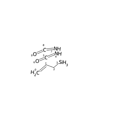 C=CC[SiH3].N=C=O.N=C=O